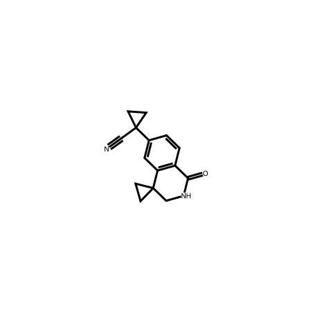 N#CC1(c2ccc3c(c2)C2(CC2)CNC3=O)CC1